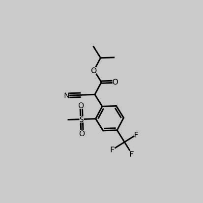 CC(C)OC(=O)C(C#N)c1ccc(C(F)(F)F)cc1S(C)(=O)=O